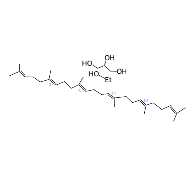 CC(C)=CCC/C(C)=C/CC/C(C)=C/CC/C=C(\C)CC/C=C(\C)CCC=C(C)C.CCO.OCC(O)CO